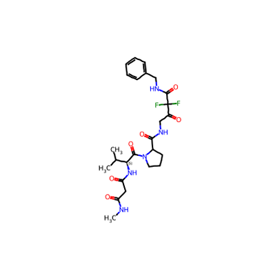 CNC(=O)CC(=O)N[C@H](C(=O)N1CCCC1C(=O)NCC(=O)C(F)(F)C(=O)NCc1ccccc1)C(C)C